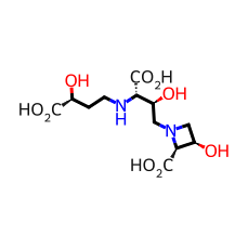 O=C(O)[C@@H](NCC[C@H](O)C(=O)O)[C@@H](O)CN1C[C@@H](O)[C@H]1C(=O)O